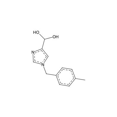 Cc1ccc(Cn2cnc(C(O)O)c2)cc1